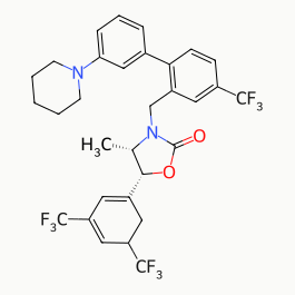 C[C@H]1[C@@H](C2=CC(C(F)(F)F)=CC(C(F)(F)F)C2)OC(=O)N1Cc1cc(C(F)(F)F)ccc1-c1cccc(N2CCCCC2)c1